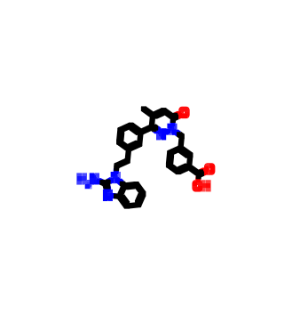 Cc1cc(=O)n(Cc2cccc(C(=O)O)c2)nc1-c1cccc(CCn2c(N)nc3ccccc32)c1